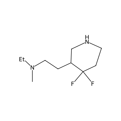 CCN(C)CCC1CNCCC1(F)F